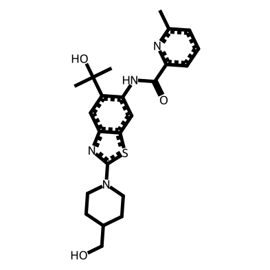 Cc1cccc(C(=O)Nc2cc3sc(N4CCC(CO)CC4)nc3cc2C(C)(C)O)n1